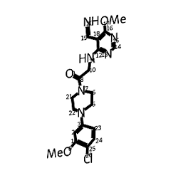 COc1cc(N2CCN(C(=O)CNc3ncnc(OC)c3C=N)CC2)ccc1Cl